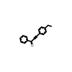 CCc1ccc(C#CC(=O)c2ccccc2)cc1